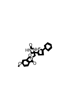 COc1ccc2c(c1)CN(CC1(c3ccc(-c4ccccc4)s3)NC(=O)NC1=O)C2=O